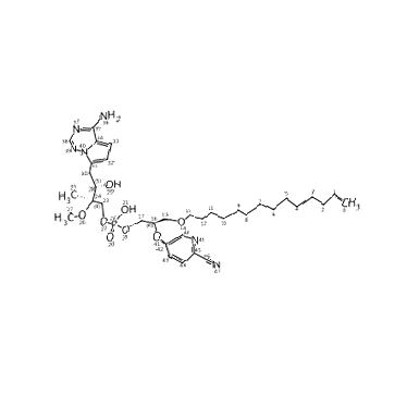 CCCCCCCCCCCCCCOC[C@H](COP(=O)(O)OC[C@@](C)(OC)[C@@H](O)Cc1ccc2c(N)ncnn12)Oc1ccc(C#N)nc1